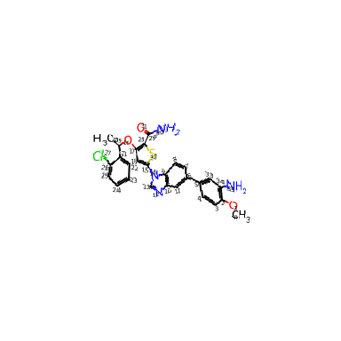 COc1ccc(-c2ccc3c(c2)ncn3-c2cc(O[C@H](C)c3ccccc3Cl)c(C(N)=O)s2)cc1N